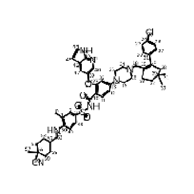 Cc1cc(S(=O)(=O)NC(=O)c2ccc(N3CCN(CC4=C(c5ccc(Cl)cc5)CC(C)(C)CC4)CC3)cc2Oc2cnc3[nH]ccc3c2)ccc1NCC1CCC(C)(C#N)CC1